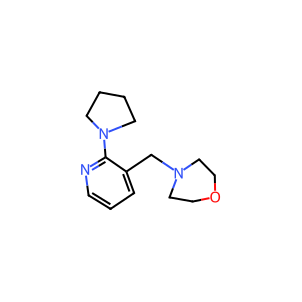 c1cnc(N2CCCC2)c(CN2CCOCC2)c1